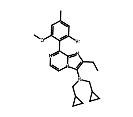 CCc1nc2c(-c3c(Br)cc(C)cc3OC)nccn2c1N(CC1CC1)CC1CC1